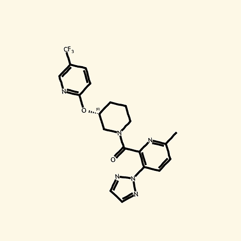 Cc1ccc(-n2nccn2)c(C(=O)N2CCC[C@@H](Oc3ccc(C(F)(F)F)cn3)C2)n1